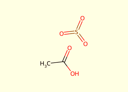 CC(=O)O.O=S(=O)=O